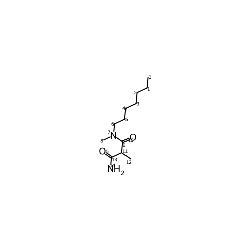 CCCCCCCN(C)C(=O)C(C)C(N)=O